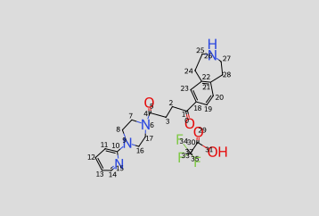 O=C(CCC(=O)N1CCN(c2ccccn2)CC1)c1ccc2c(c1)CCNCC2.O=C(O)C(F)(F)F